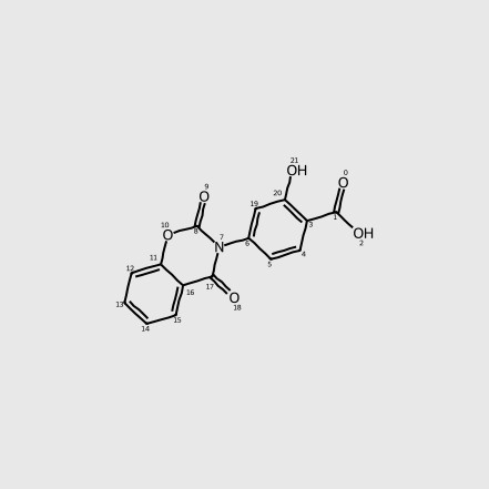 O=C(O)c1ccc(-n2c(=O)oc3ccccc3c2=O)cc1O